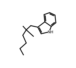 CCCCC(C)(C)Cc1c[nH]c2ccccc12